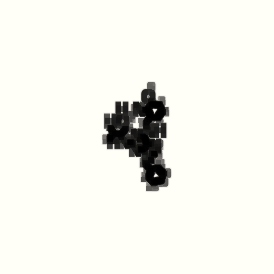 COc1cccc(CNc2nc(NC(CO)C(C)C)nc3c2ncn3Cc2ccccc2)c1N